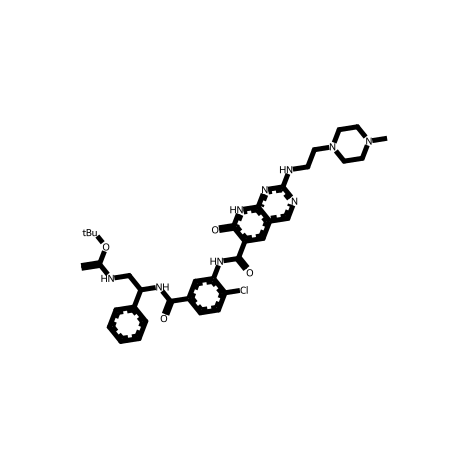 C=C(NCC(NC(=O)c1ccc(Cl)c(NC(=O)c2cc3cnc(NCCN4CCN(C)CC4)nc3[nH]c2=O)c1)c1ccccc1)OC(C)(C)C